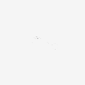 CC1(C)OCC(C)(C)[C@H](C(=O)N/C=C\C(=O)NCCCCCN2C(=O)CC(C3=C/C=C\C=C/C=C\C=C/C=C\3)C2=O)O1